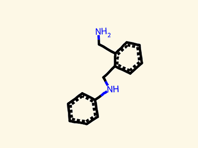 NCc1ccccc1CNc1ccccc1